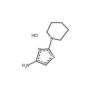 Cl.Nc1csc(N2CCCCC2)n1